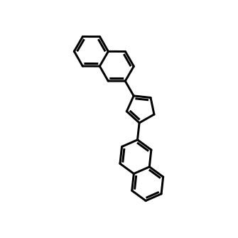 C1=C(c2ccc3ccccc3c2)C=C(c2ccc3ccccc3c2)C1